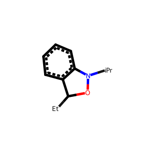 CCC1ON(C(C)C)c2ccccc21